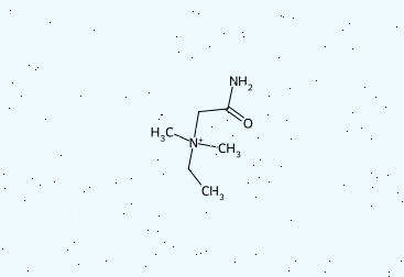 CC[N+](C)(C)CC(N)=O